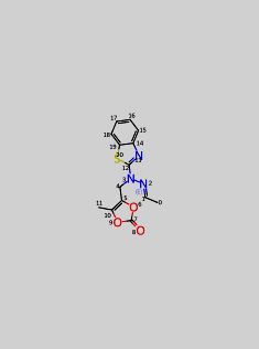 C/C=N/N(Cc1oc(=O)oc1C)c1nc2ccccc2s1